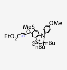 CCCCC1(CCCC)CN(c2ccc(OC)cc2)c2cc(SC)c(O/C=C/C(=O)OCC)cc2[S+]([O-])C1